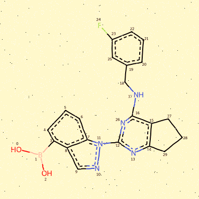 OB(O)c1cccc2c1cnn2-c1nc2c(c(NCc3cccc(F)c3)n1)CCC2